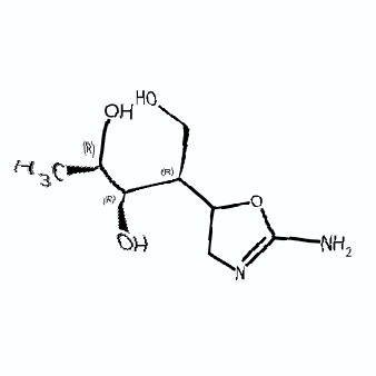 C[C@@H](O)[C@H](O)[C@@H](CO)C1CN=C(N)O1